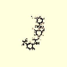 Cc1ccc(S(C)(=O)=O)cc1NC(=O)CN1CC(C)N(S(=O)(=O)c2cccc(C#N)c2)C(C)C1